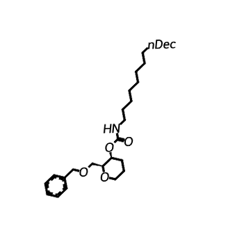 CCCCCCCCCCCCCCCCCCNC(=O)O[C@H]1CCCO[C@H]1COCc1ccccc1